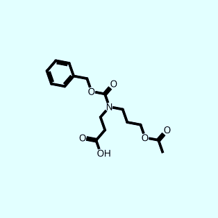 CC(=O)OCCCN(CCC(=O)O)C(=O)OCc1ccccc1